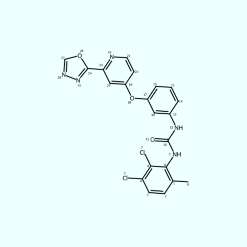 Cc1ccc(Cl)c(Cl)c1NC(=O)Nc1cccc(Oc2ccnc(-c3nnco3)c2)c1